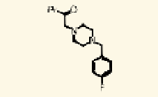 CC(C)C(=O)CN1CCN(Cc2ccc(F)cc2)CC1